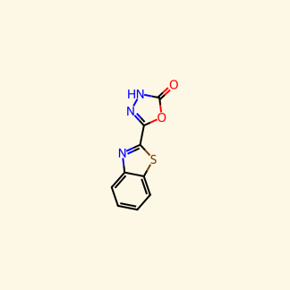 O=c1[nH]nc(-c2nc3ccccc3s2)o1